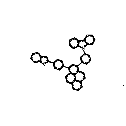 c1cc(-c2cc(-c3ccc(-c4cc5ccccc5s4)cc3)c3ccc4cccc5ccc2c3c45)cc(-n2c3ccccc3c3ccccc32)c1